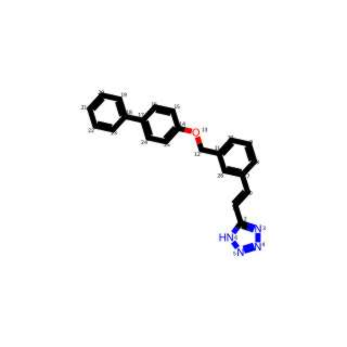 C(=C\c1nnn[nH]1)/c1cccc(COc2ccc(-c3ccccc3)cc2)c1